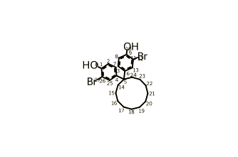 Oc1ccc(C2(c3ccc(O)c(Br)c3)CCCCCCCCCCC2)cc1Br